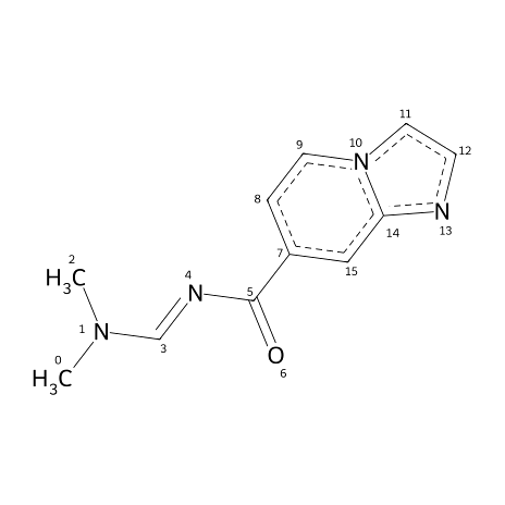 CN(C)C=NC(=O)c1ccn2ccnc2c1